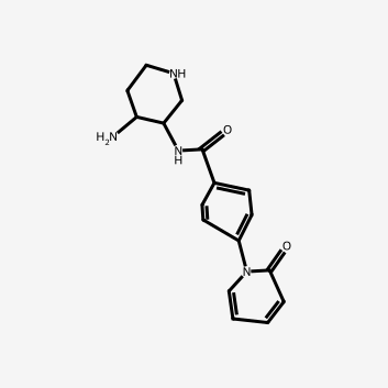 NC1CCNCC1NC(=O)c1ccc(-n2ccccc2=O)cc1